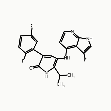 CC(C)c1[nH]c(=O)c(-c2cc(Cl)ccc2F)cc1Nc1ccnc2[nH]cc(F)c12